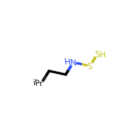 CC(C)CCNSS